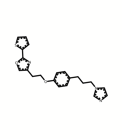 c1csc(-c2nc(CCOc3ccc(CCCn4ccnc4)cc3)co2)c1